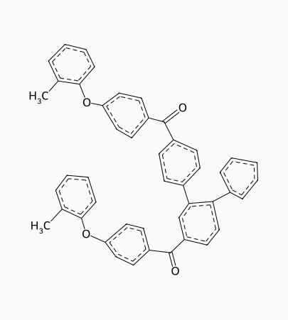 Cc1ccccc1Oc1ccc(C(=O)c2ccc(-c3cc(C(=O)c4ccc(Oc5ccccc5C)cc4)ccc3-c3ccccc3)cc2)cc1